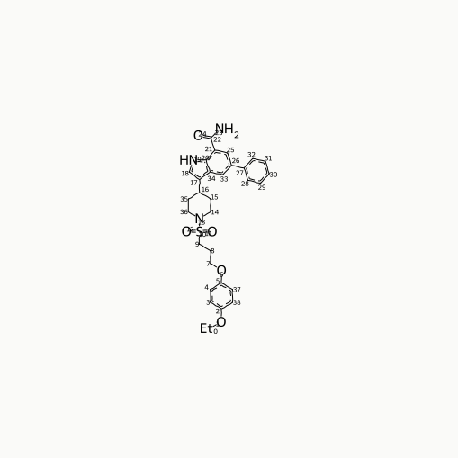 CCOc1ccc(OCCCS(=O)(=O)N2CCC(c3c[nH]c4c(C(N)=O)cc(-c5ccccc5)cc34)CC2)cc1